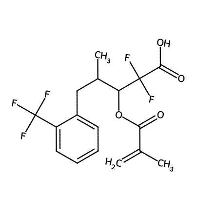 C=C(C)C(=O)OC(C(C)Cc1ccccc1C(F)(F)F)C(F)(F)C(=O)O